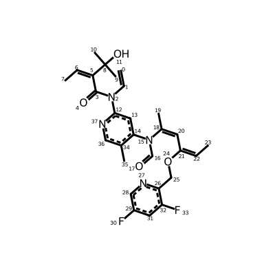 C=CN(C(=O)/C(=C\C)C(C)(C)O)c1cc(N(C=O)/C(C)=C\C(=C/C)OCc2ncc(F)cc2F)c(C)cn1